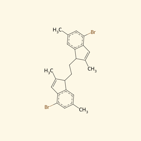 CC1=Cc2c(Br)cc(C)cc2C1CCC1C(C)=Cc2c(Br)cc(C)cc21